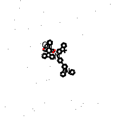 CC1(C)c2ccccc2-c2ccc(N(c3ccc(-c4ccc5c(c4)c4ccccc4n5-c4ccccc4)cc3)c3ccc4c(c3)C3(c5ccccc5-4)c4ccccc4N4c5ccccc5Oc5cccc3c54)cc21